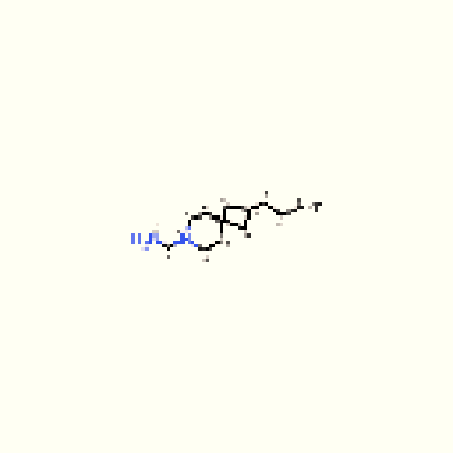 CC(C)CCC1CC2(CCN(CN)CC2)C1